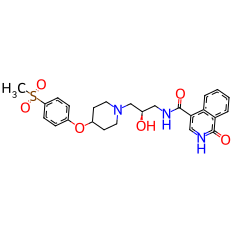 CS(=O)(=O)c1ccc(OC2CCN(C[C@H](O)CNC(=O)c3c[nH]c(=O)c4ccccc34)CC2)cc1